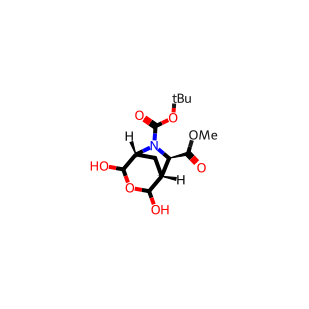 COC(=O)[C@H]1[C@H]2C[C@H](C(O)OC2O)N1C(=O)OC(C)(C)C